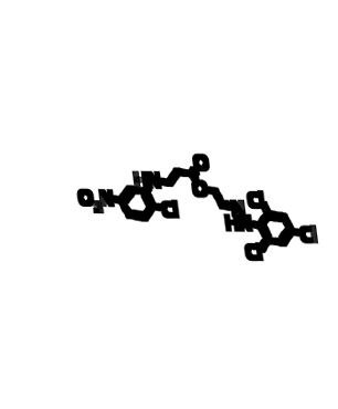 O=C(CCNc1cc([N+](=O)[O-])ccc1Cl)OCC=NNc1c(Cl)cc(Cl)cc1Cl